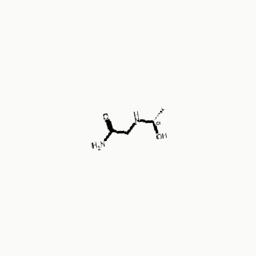 C[C@H](O)NCC(N)=O